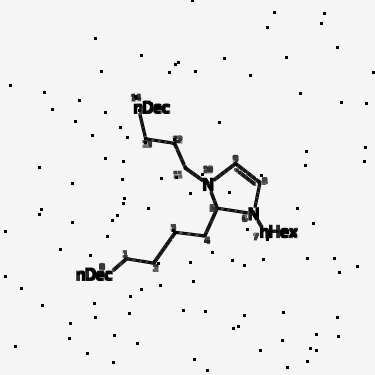 CCCCCCCCCCCCCCC1N(CCCCCC)C=CN1CCCCCCCCCCCCC